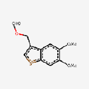 COc1cc2scc(COC=O)c2cc1OC